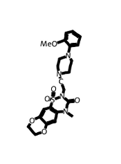 COc1ccccc1N1CCN(CCN2C(=O)N(C)c3cc4c(cc3S2(=O)=O)OCCO4)CC1